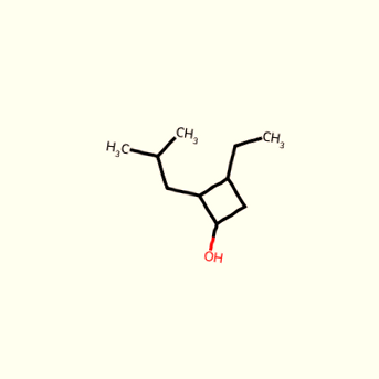 CCC1CC(O)C1CC(C)C